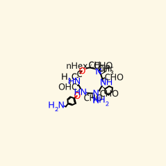 CCCCCC[C@H]1OC[C@@H](C)NC(C=O)[C@@H](COc2ccc(CN)cc2)NC(C=O)[C@H](CN)NC(C=O)[C@H](C2CCCCC2)NC(C=O)[C@H](CC(C)C)N(C)C(C=O)[C@H]1C